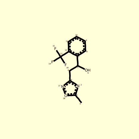 Cc1nc(CC(O)c2ccccc2C(F)(F)F)no1